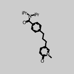 CC(C)N(C(=O)c1ccc(CCCc2ccc(=O)n(C)c2)cc1)C(C)C